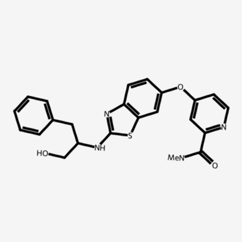 CNC(=O)c1cc(Oc2ccc3nc(NC(CO)Cc4ccccc4)sc3c2)ccn1